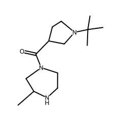 CC1CN(C(=O)C2CCN(C(C)(C)C)C2)CCN1